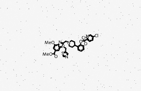 COC(=O)c1cc(OC)c2nc(CN3CCC(c4cccc5c4O[C@@](C)(c4ccc(Cl)cn4)O5)CC3)n(Cc3cncs3)c2c1